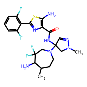 CC1CCN(C2(NC(=O)c3nc(-c4c(F)cccc4F)sc3N)C=NN(C)C2)CC(F)(F)C1N